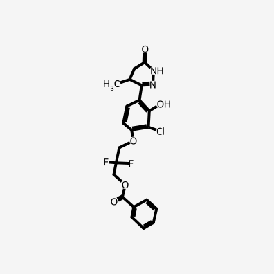 CC1CC(=O)NN=C1c1ccc(OCC(F)(F)COC(=O)c2ccccc2)c(Cl)c1O